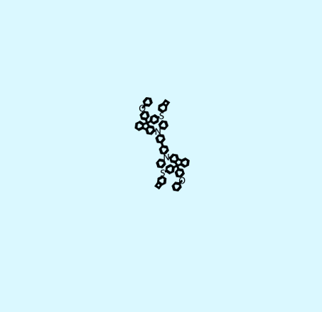 C1=C(Sc2ccc(C3(c4ccc(Oc5ccccc5)cc4)c4ccccc4-c4ccc(N(c5ccccc5)c5ccc(-c6ccc(N(c7ccccc7)c7ccc8c(c7)C(c7ccc(Oc9ccccc9)cc7)(c7ccc(Sc9ccc%10c(c9)CC%10)cc7)c7ccccc7-8)cc6)cc5)cc43)cc2)CC2CCC2=C1